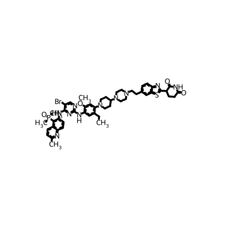 CCc1cc(Nc2ncc(Br)c(Nc3ccc4nc(C)ccc4c3P(C)(C)=O)n2)c(OC)cc1N1CCC(N2CCN(CCc3ccc4nc(C5CCC(=O)NC5=O)sc4c3)CC2)CC1